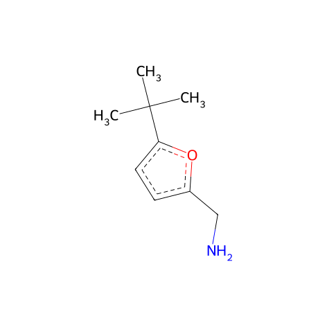 CC(C)(C)c1ccc(CN)o1